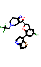 FC(F)(F)CN1CCc2noc([C@H]3Cc4cc(Cl)cc(-c5ccnc6ccsc56)c4O3)c2C1